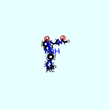 C=CC(=O)N1CC(CCn2c(=O)ccc3cnc(Nc4ccc(N5CCN(C(C)=O)C(C)(C)C5)cc4)nc32)C1